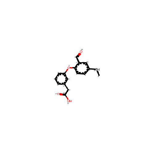 CBc1ccc(Oc2cccc(CC(=O)O)c2)c(C=O)c1